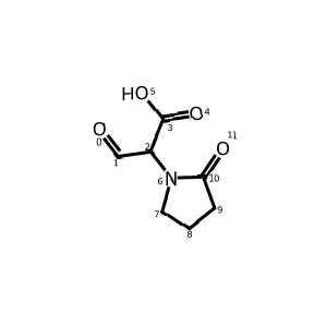 O=CC(C(=O)O)N1CCCC1=O